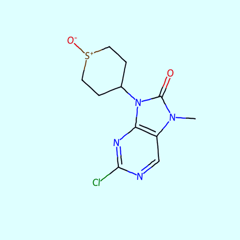 Cn1c(=O)n(C2CC[S+]([O-])CC2)c2nc(Cl)ncc21